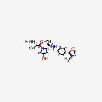 C=C(NC[C@H]1CC[C@@H](c2scnc2C)CC1)[C@@H]1C[C@@H](O)CN1C(=O)[C@@H](NC(C)=O)C(C)(C)C